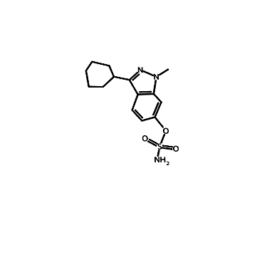 Cn1nc(C2CCCCC2)c2ccc(OS(N)(=O)=O)cc21